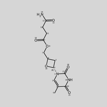 Cc1cn([C@H]2CC(COC(=O)CCC(N)=O)O2)c(=O)[nH]c1=O